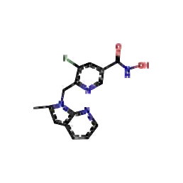 Cc1cc2cccnc2n1Cc1ncc(C(=O)NO)cc1F